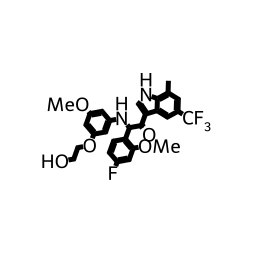 COc1cc(NC(C(=O)c2c[nH]c3c(C)cc(C(F)(F)F)cc23)c2ccc(F)cc2OC)cc(OCCO)c1